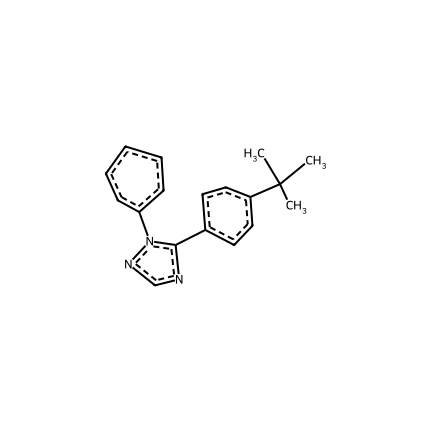 CC(C)(C)c1ccc(-c2ncnn2-c2ccccc2)cc1